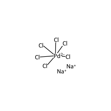 [Cl][Pd-2]([Cl])([Cl])([Cl])([Cl])[Cl].[Na+].[Na+]